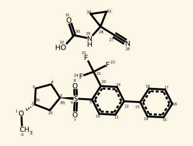 CO[C@@H]1CC[C@@H](S(=O)(=O)c2ccc(-c3ccccc3)cc2C(F)(F)F)C1.N#CC1(NC(=O)O)CC1